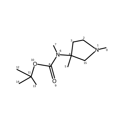 CN1CCC(C)(N(C)C(=O)OC(C)(C)C)C1